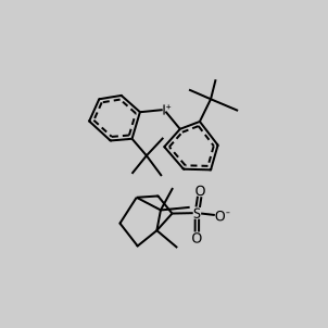 CC(C)(C)c1ccccc1[I+]c1ccccc1C(C)(C)C.CC1(C)C2CCC1(C)C(S(=O)(=O)[O-])C2